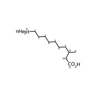 CCCCCCCCCCCCCCC(C)[CH]C(=O)O